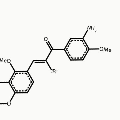 COc1ccc(C(=O)/C(=C/c2ccc3c(c2OC)OCCO3)C(C)C)cc1N